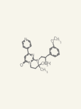 COc1cccc(C(O)CN2c3nc(-c4ccncc4)cc(=O)n3CCC2(C)C)c1